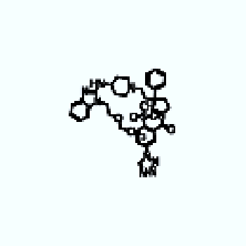 CCOCCn1c(NC2CCN(CCC3(c4ccccc4)CCN(C(=O)c4cc(-n5cnnn5)ccc4S(C)(=O)=O)C3)CC2)nc2ccccc21